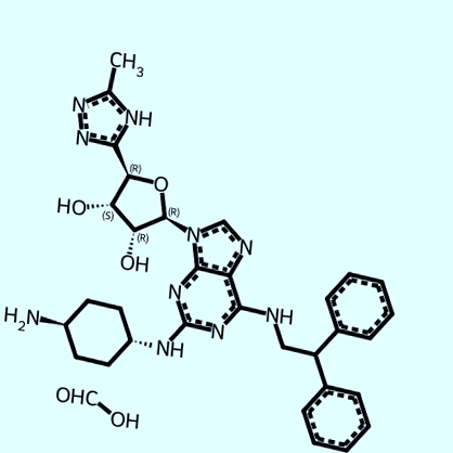 Cc1nnc([C@H]2O[C@@H](n3cnc4c(NCC(c5ccccc5)c5ccccc5)nc(N[C@H]5CC[C@H](N)CC5)nc43)[C@H](O)[C@@H]2O)[nH]1.O=CO